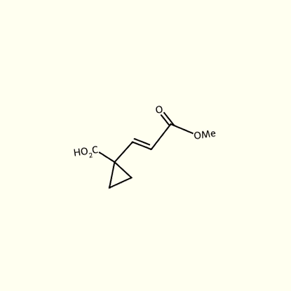 COC(=O)C=CC1(C(=O)O)CC1